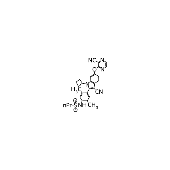 CCCS(=O)(=O)Nc1cc(C)c(-c2c(C#N)c3ccc(Oc4nccnc4C#N)cc3n2C2CCC2)cc1C